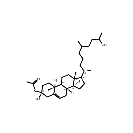 CC(=O)S[C@]1(O)CC[C@@]2(C)C(=CC[C@H]3[C@@H]4CC[C@H]([C@H](C)CCCC(C)CCC(C)O)[C@@]4(C)CC[C@@H]32)C1